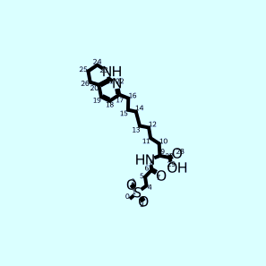 CS(=O)(=O)CCC(=O)NC(CCCCCCCc1ccc2c(n1)NCCC2)C(=O)O